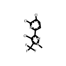 Cn1nc(-c2ccc(Cl)c(Cl)n2)c(Cl)c1C(F)(F)F